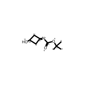 CC(C)(C)OC(=O)N=C1CC(O)C1